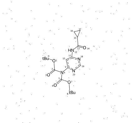 CC(C)(C)OC(=O)N(C(=O)OC(C)(C)C)c1cc(NC(=O)C2CC2)ncn1